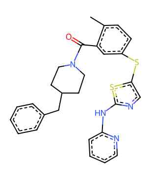 Cc1ccc(Sc2cnc(Nc3ccccn3)s2)cc1C(=O)N1CCC(Cc2ccccc2)CC1